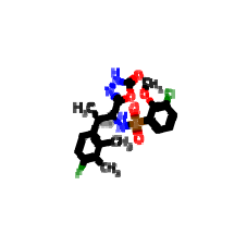 COc1c(Cl)cccc1S(=O)(=O)N[C@H](c1n[nH]c(=O)o1)[C@H](C)c1ccc(F)c(C)c1C